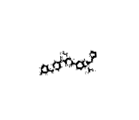 CCC(CC)n1c(Cc2cccs2)nc2cc(C(=O)N[C@@H](CC(C)C)C(=O)NC3CCN(Cc4cccc(F)c4)CC3)ccc21